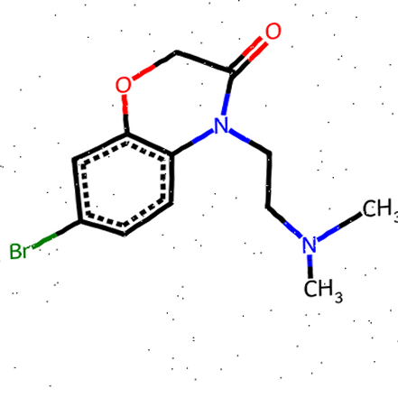 CN(C)CCN1C(=O)COc2cc(Br)ccc21